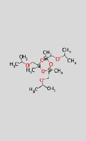 CC(C)OC[Si]1(C)O[Si](C)(COC(C)C)O[Si](C)(COC(C)C)O1